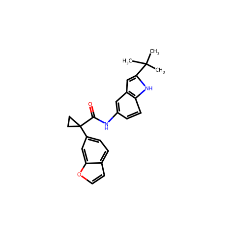 CC(C)(C)c1cc2cc(NC(=O)C3(c4ccc5ccoc5c4)CC3)ccc2[nH]1